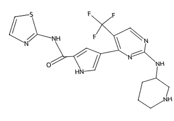 O=C(Nc1nccs1)c1cc(-c2nc(NC3CCCNC3)ncc2C(F)(F)F)c[nH]1